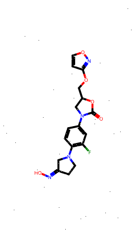 O=C1OC(COc2ccon2)CN1c1ccc(N2CC/C(=N/O)C2)c(F)c1